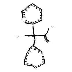 COC(=O)C(OC)(c1ccccn1)c1ccccn1